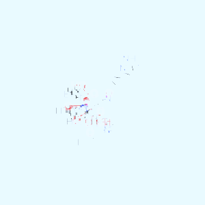 CCCN1C[C@H](C)[C@H]2OC/C(=N\OCc3ccc(-c4cccc(N)n4)s3)CO[C@](C)(C[C@H]1C)[C@H](O[C@@H]1O[C@H](C)C[C@H](N(C)C)[C@H]1O)[C@@H](C)C(=O)[C@@H](C)C(=O)O[C@H](CC)[C@@]2(C)O